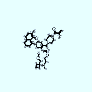 C=C(F)C(=O)N1CCN(c2nc(OCCN(C)C3(COC)CCC3)nc3c2CCN(c2cccc4ccc(F)c(Cl)c24)C3)CC1